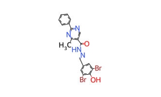 Cc1nc(-c2ccccc2)ncc1C(=O)NN=Cc1cc(Br)c(O)c(Br)c1